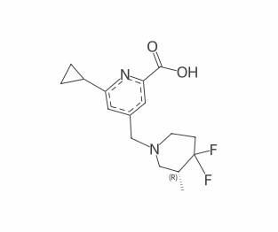 C[C@@H]1CN(Cc2cc(C(=O)O)nc(C3CC3)c2)CCC1(F)F